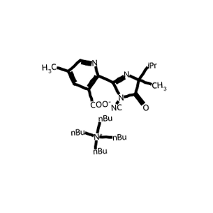 CCCC[N+](CCCC)(CCCC)CCCC.Cc1cnc(C2=NC(C)(C(C)C)C(=O)N2C#N)c(C(=O)[O-])c1